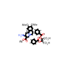 COc1cc2c(cc1OC)[C@@H]1CC(N)=C(C(=O)OC(C)C)CN1CC2.O=C(O[C@H](C(=O)O)[C@H](OC(=O)c1ccccc1)C(=O)O)c1ccccc1